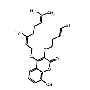 CCC=CCCOc1c(OCC=C(C)CCC=C(C)C)c2cccc(O)c2oc1=O